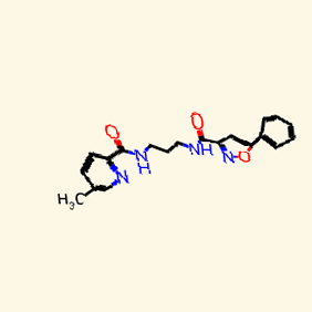 Cc1ccc(C(=O)NCCCNC(=O)c2cc(-c3ccccc3)on2)nc1